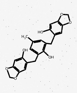 Cc1cc(Cc2cc3c(cc2O)OCO3)c(O)c(Cc2cc3c(cc2O)OCO3)c1